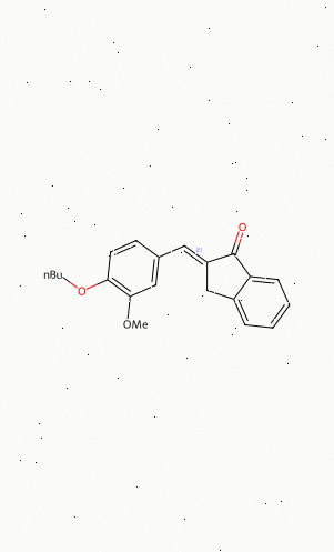 CCCCOc1ccc(/C=C2\Cc3ccccc3C2=O)cc1OC